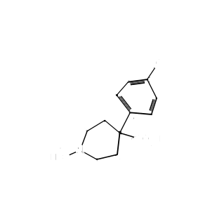 Cc1ccc(C2(C(=O)O)CCN(C)CC2)cc1